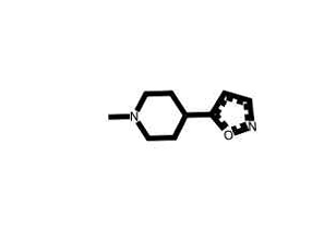 CN1CCC(c2ccno2)CC1